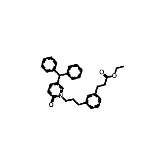 CCOC(=O)CCc1cccc(CCCn2cc(C(c3ccccc3)c3ccccc3)ccc2=O)c1